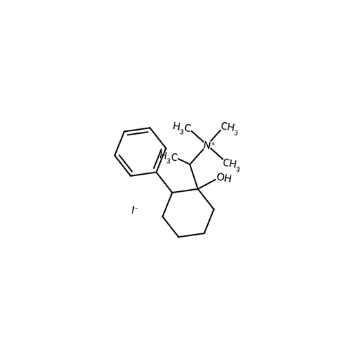 CC(C1(O)CCCCC1c1ccccc1)[N+](C)(C)C.[I-]